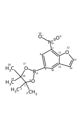 CC1(C)OB(c2cc([N+](=O)[O-])c3occc3c2)OC1(C)C